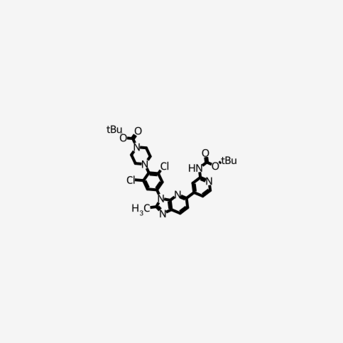 Cc1nc2ccc(-c3ccnc(NC(=O)OC(C)(C)C)c3)nc2n1-c1cc(Cl)c(N2CCN(C(=O)OC(C)(C)C)CC2)c(Cl)c1